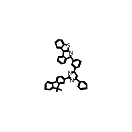 CC1(C)c2ccccc2-c2ccc(-c3nc(-c4ccccc4)cc(-c4cccc(-c5nc6sc7ccccc7c6c6ccccc56)c4)n3)cc21